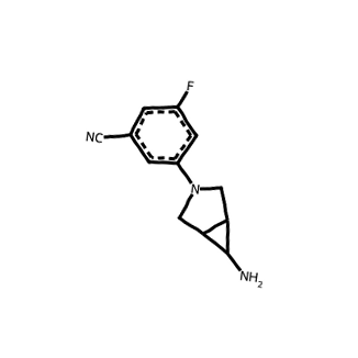 N#Cc1cc(F)cc(N2CC3C(N)C3C2)c1